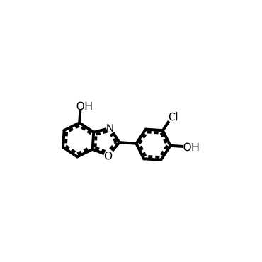 Oc1ccc(-c2nc3c(O)cccc3o2)cc1Cl